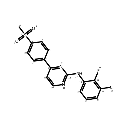 CS(=O)(=O)c1ccc(-c2ccnc(Nc3cccc(Cl)c3F)n2)cc1